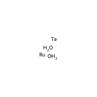 O.O.[Ru].[Ta]